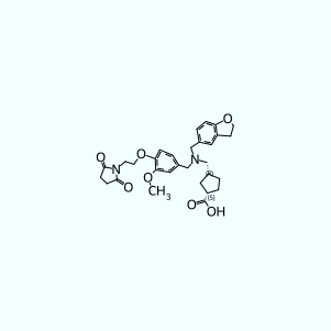 COc1cc(CN(Cc2ccc3c(c2)CCO3)C[C@@H]2CC[C@H](C(=O)O)C2)ccc1OCCN1C(=O)CCC1=O